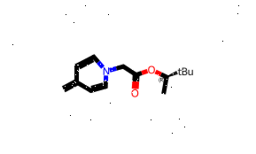 C=C1C=CN(CC(=O)O[C@H](C)C(C)(C)C)C=C1